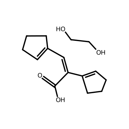 O=C(O)C(=CC1=CCCC1)C1=CCCC1.OCCO